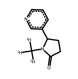 [2H]C([2H])([2H])N1C(=O)CCC1c1cccnc1